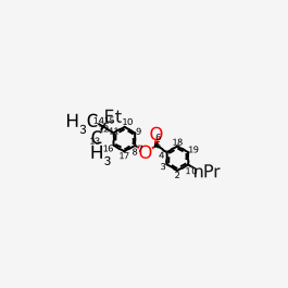 CCCc1ccc(C(=O)Oc2ccc(C(C)(C)CC)cc2)cc1